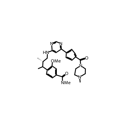 CNC(=O)c1ccc(C(C)[C@H](C)CNc2cc(-c3ccc(C(=O)N4CCN(C)CC4)cc3)ncn2)c(OC)c1